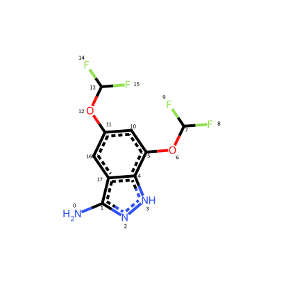 Nc1n[nH]c2c(OC(F)F)cc(OC(F)F)cc12